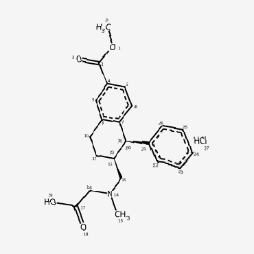 COC(=O)c1ccc2c(c1)CC[C@H](CN(C)CC(=O)O)[C@@H]2c1ccccc1.Cl